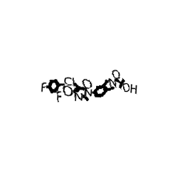 Cc1nc(OCc2ccc(F)cc2F)c(Cl)c(=O)n1-c1ccc2c(c1)CN(C(=O)C(C)(C)O)C2